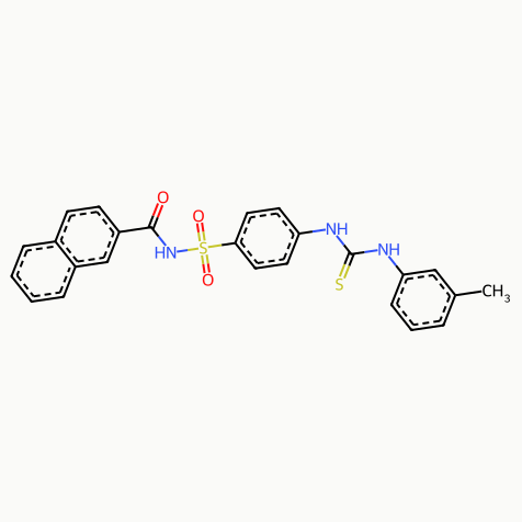 Cc1cccc(NC(=S)Nc2ccc(S(=O)(=O)NC(=O)c3ccc4ccccc4c3)cc2)c1